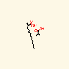 C=C(C)C(=O)O.C=C(CCCCCCCCCCCC)C(=O)O